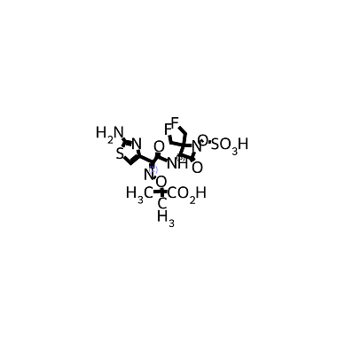 CC(C)(O/N=C(\C(=O)N[C@@H]1C(=O)N(OS(=O)(=O)O)C1(CF)CF)c1csc(N)n1)C(=O)O